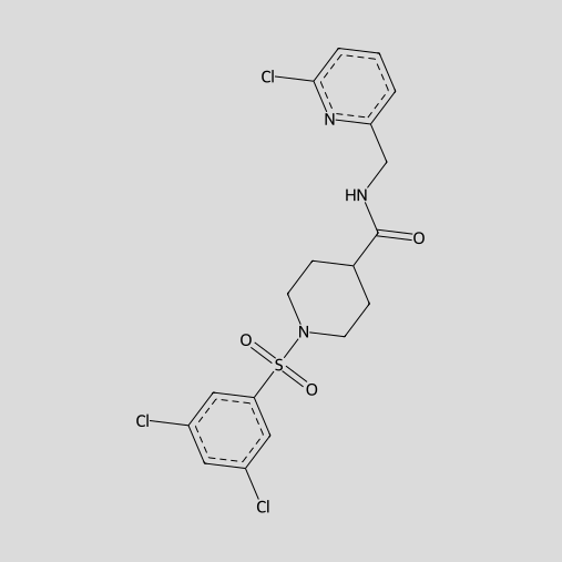 O=C(NCc1cccc(Cl)n1)C1CCN(S(=O)(=O)c2cc(Cl)cc(Cl)c2)CC1